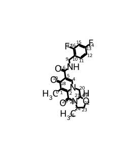 Cc1c2n(cc(C(=O)NCc3ccc(F)cc3F)c1=O)C[C@H]1OC[C@H](C)N1C2=O